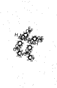 Nc1cc(OC(F)(F)F)ccc1NC(=O)[C@H]1CC[C@]2(CC1)CN(c1cccnc1)C(=O)O2.Nc1ccc(OC(F)(F)F)cc1NC(=O)[C@H]1CC[C@]2(CC1)CN(c1cccnc1)C(=O)O2